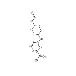 O=CBN1CCC(Nc2cccc(C(=O)O)c2)CC1